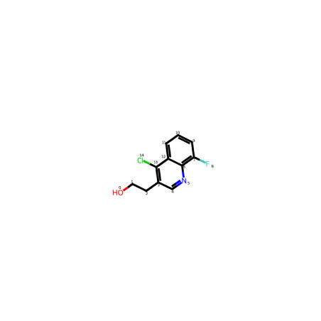 OCCc1cnc2c(F)cccc2c1Cl